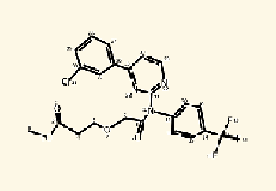 COC(=O)CCOCC(=O)N(c1ccc(C(F)(F)F)cc1)c1nccc(-c2cccc(Cl)c2)n1